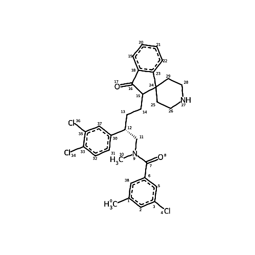 Cc1cc(Cl)cc(C(=O)N(C)C[C@@H](CCC2C(=O)c3ccccc3C23CCNCC3)c2ccc(Cl)c(Cl)c2)c1